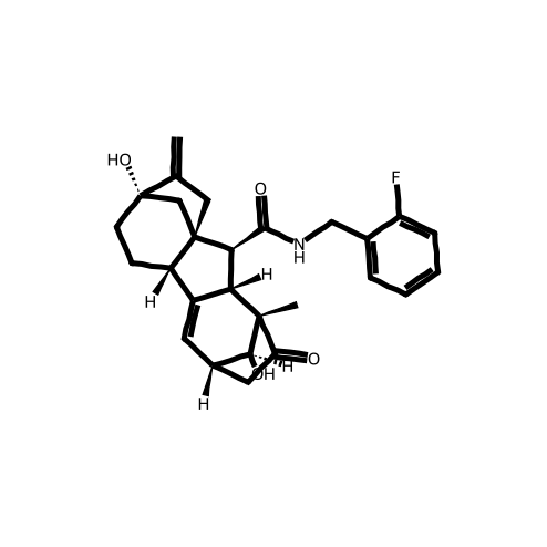 C=C1C[C@]23C[C@@]1(O)CC[C@H]2C1=C[C@H]2CC(=O)[C@@](C)([C@H]1[C@@H]3C(=O)NCc1ccccc1F)[C@H]2O